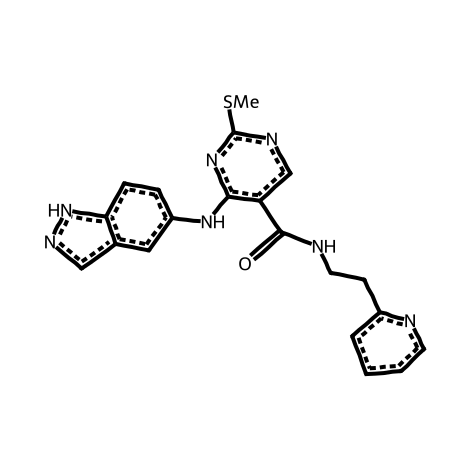 CSc1ncc(C(=O)NCCc2ccccn2)c(Nc2ccc3[nH]ncc3c2)n1